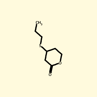 CCCSC1CCOC(=O)C1